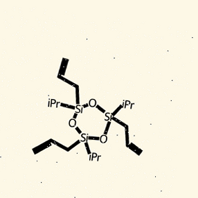 C=CC[Si]1(C(C)C)O[Si](CC=C)(C(C)C)O[Si](CC=C)(C(C)C)O1